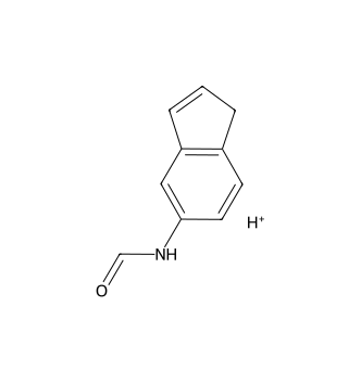 O=CNc1ccc2c(c1)C=CC2.[H+]